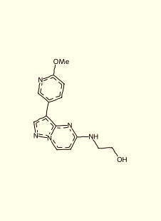 COc1ccc(-c2cnn3ccc(NCCO)nc23)cn1